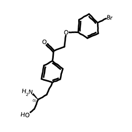 N[C@H](CO)Cc1ccc(C(=O)COc2ccc(Br)cc2)cc1